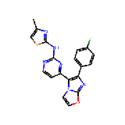 Cc1csc(Nc2nccc(-c3c(-c4ccc(F)cc4)nc4occn34)n2)n1